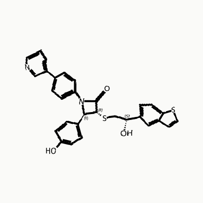 O=C1[C@H](SC[C@@H](O)c2ccc3sccc3c2)[C@@H](c2ccc(O)cc2)N1c1ccc(-c2cccnc2)cc1